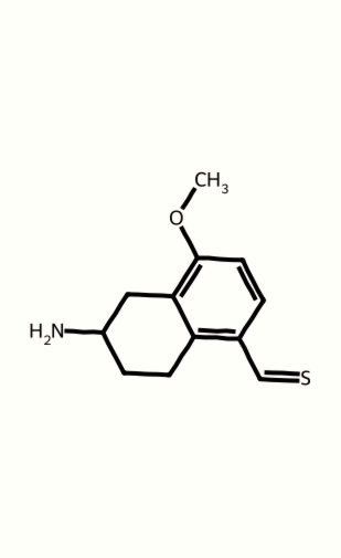 COc1ccc(C=S)c2c1CC(N)CC2